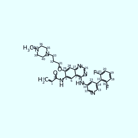 C=CC(=O)Nc1cc2c(Nc3cncc(-c4c(F)cccc4F)c3)ncnc2cc1OCCCN1CCN(C)CC1